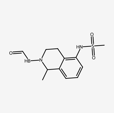 CC1c2cccc(NS(C)(=O)=O)c2CCN1BC=O